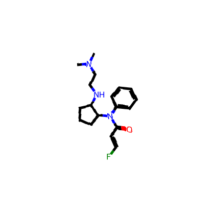 CN(C)CCNC1CCCC1N(C(=O)C=CF)c1ccccc1